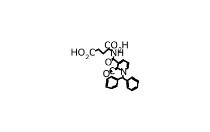 O=C=C1C(C(=O)NC(CCC(=O)O)C(=O)O)=CC=CN1C(c1ccccc1)c1ccccc1